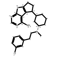 CN(CCc1cccc(Cl)c1)[C@H]1CCCC(C2CCc3sc4ncnc(N)c4c32)C1